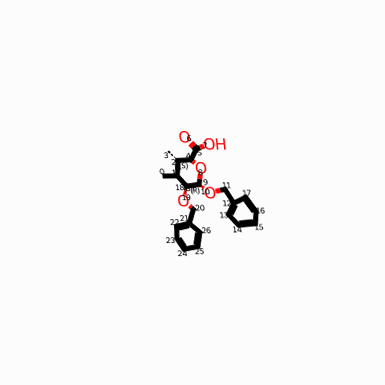 CC1[C@H](C)C(C(=O)O)O[C@@H](OCc2ccccc2)[C@H]1OCc1ccccc1